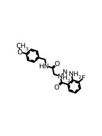 COc1ccc(CNC(=O)CN(N)C(=O)c2cccc(F)c2N)cc1